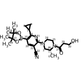 C[C@@H]1CN(c2nc(C3CC3)c(B3OC(C)(C)C(C)(C)O3)cc2C#N)CCN1C(=O)CCO